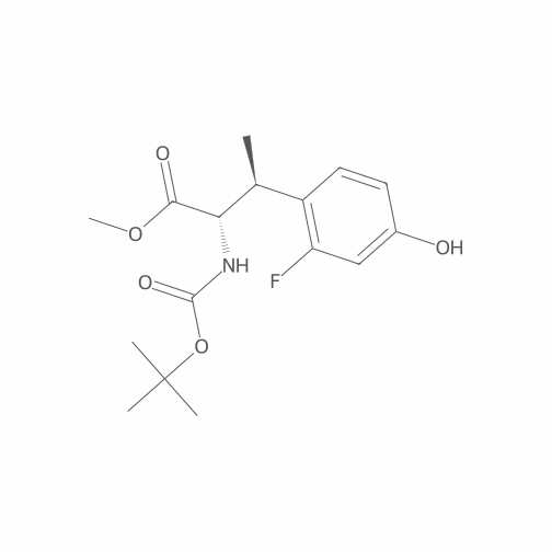 COC(=O)[C@@H](NC(=O)OC(C)(C)C)[C@@H](C)c1ccc(O)cc1F